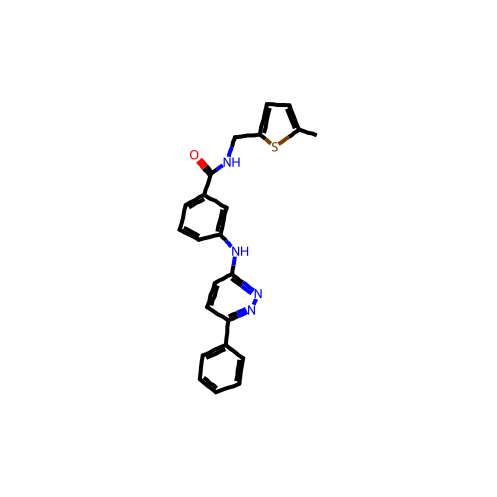 Cc1ccc(CNC(=O)c2cccc(Nc3ccc(-c4ccccc4)nn3)c2)s1